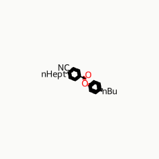 CCCCCCC[C@]1(C#N)CC[C@@H](C(=O)Oc2ccc(CCCC)cc2)CC1